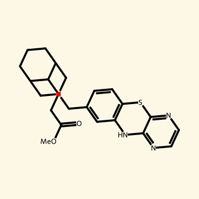 COC(=O)CCC1C2CCCC1CN(Cc1ccc3c(c1)Nc1nccnc1S3)C2